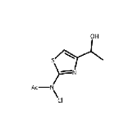 [CH2]C(O)c1csc(N(Cl)C(C)=O)n1